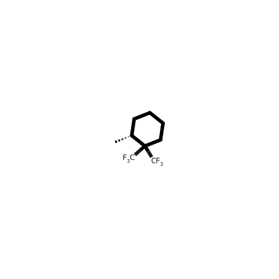 C[C@@H]1CCCCC1(C(F)(F)F)C(F)(F)F